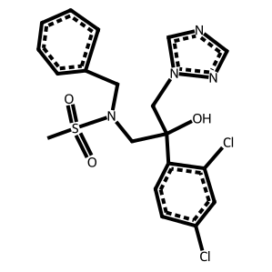 CS(=O)(=O)N(Cc1ccccc1)CC(O)(Cn1cncn1)c1ccc(Cl)cc1Cl